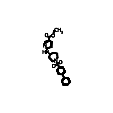 CCOC(=O)c1ccc(NC2CCCN(S(=O)(=O)c3ccc(-c4ccccc4)cc3)CC2)nc1